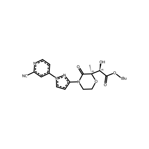 CC(C)(C)OC(=O)[C@H](O)[C@@]1(C)OCCN(c2ccn(-c3ccnc(C#N)c3)n2)C1=O